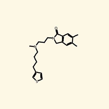 Cc1cc2c(cc1C)C(=O)N(CCCN(C)CCCCc1ccsc1)C2